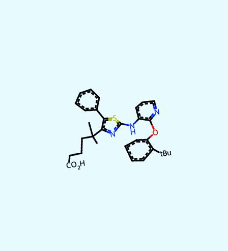 CC(C)(C)c1ccccc1Oc1ncccc1Nc1nc(C(C)(C)CCCC(=O)O)c(-c2ccccc2)s1